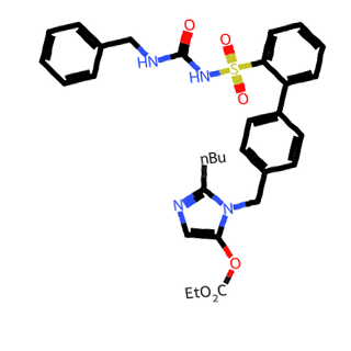 CCCCc1ncc(OC(=O)OCC)n1Cc1ccc(-c2ccccc2S(=O)(=O)NC(=O)NCc2ccccc2)cc1